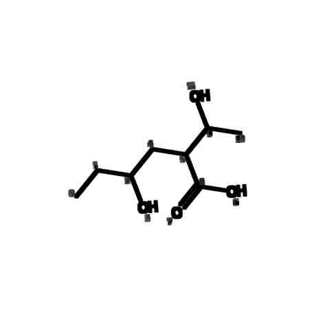 CCC(O)CC(C(=O)O)C(C)O